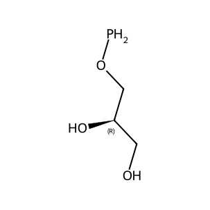 OC[C@@H](O)COP